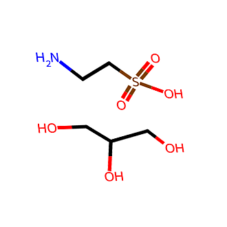 NCCS(=O)(=O)O.OCC(O)CO